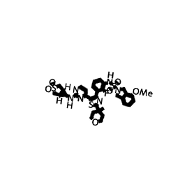 COc1cccc2c1CN(S(=O)(=O)Nc1cccc(-c3nc(C4(C)CCOCC4)sc3-c3ccnc(NC4[C@H]5CS(=O)(=O)C[C@@H]45)n3)c1F)C2